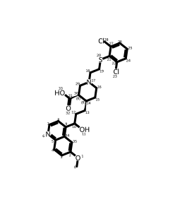 COc1ccc2nccc(C(O)CC[C@@H]3CCN(CCSc4c(Cl)cccc4Cl)C[C@@H]3C(=O)O)c2c1